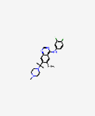 CC(=O)Nc1cc2c(Nc3ccc(F)c(Cl)c3)ncnc2cc1C(C)(C)N1CCN(C)CC1